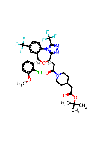 COc1cccc([C@H]2O[C@H](CC(=O)N3CCC(CC(=O)OC(C)(C)C)CC3)c3nnc(C(F)(F)F)n3-c3ccc(C(F)(F)F)cc32)c1Cl